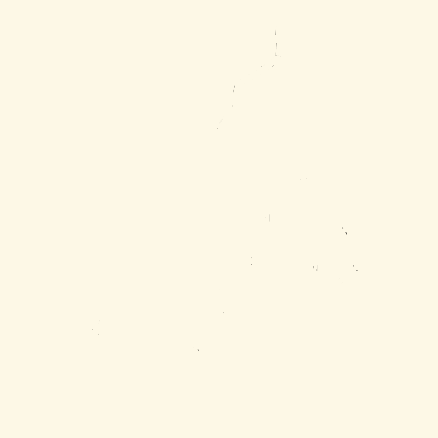 C[C@H]1CN(c2ccc3c(c2)Cn2cc(-c4ccc(F)cc4F)cc2-c2nncn2-3)C[C@H]1CN(C)C